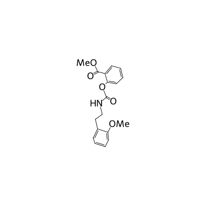 COC(=O)c1ccccc1OC(=O)NCCc1ccccc1OC